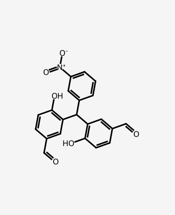 O=Cc1ccc(O)c(C(c2cccc([N+](=O)[O-])c2)c2cc(C=O)ccc2O)c1